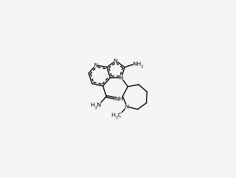 CN1CCCCC(n2c(N)nc3nccc(C(=N)N)c32)C1